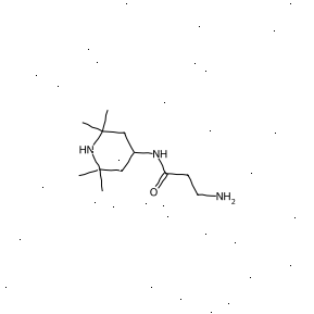 CC1(C)CC(NC(=O)CCN)CC(C)(C)N1